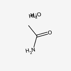 CC(N)=O.O.[LiH]